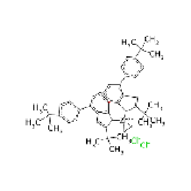 CC(C)(C)C1=Cc2c(-c3ccc(C(C)(C)C)cc3)cccc2[CH]1[Zr+2]1([CH]2C(C(C)(C)C)=Cc3c(-c4ccc(C(C)(C)C)cc4)cccc32)[CH2][CH2]1.[Cl-].[Cl-]